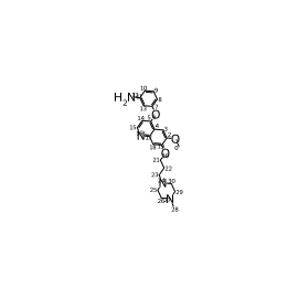 COc1cc2c(Oc3cccc(N)c3)ccnc2cc1OCCCN1CCN(C)CC1